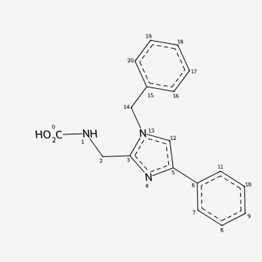 O=C(O)NCc1nc(-c2ccccc2)cn1Cc1ccccc1